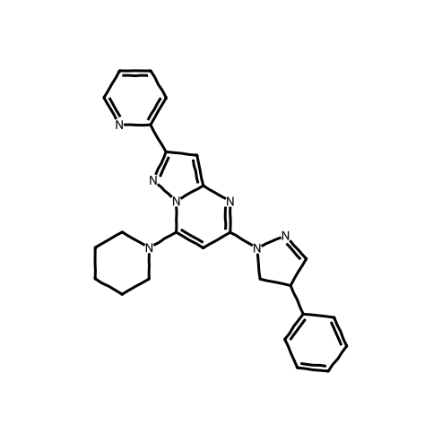 C1=NN(c2cc(N3CCCCC3)n3nc(-c4ccccn4)cc3n2)CC1c1ccccc1